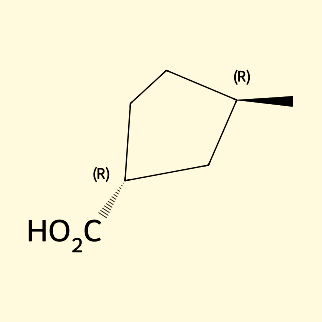 C[C@@H]1CC[C@@H](C(=O)O)C1